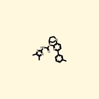 Cc1cccc(-c2ccc3c(n2)N(C(=O)Nc2nc(C)c(C)s2)C2CCN3CC2)c1